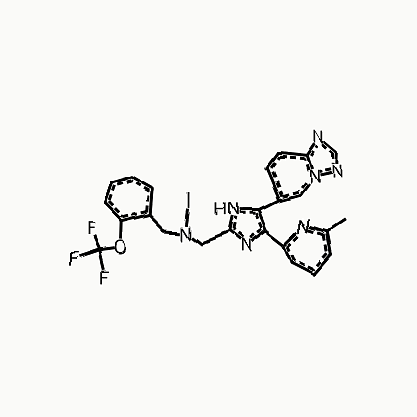 Cc1cccc(-c2nc(CN(I)Cc3ccccc3OC(F)(F)F)[nH]c2-c2ccc3ncnn3c2)n1